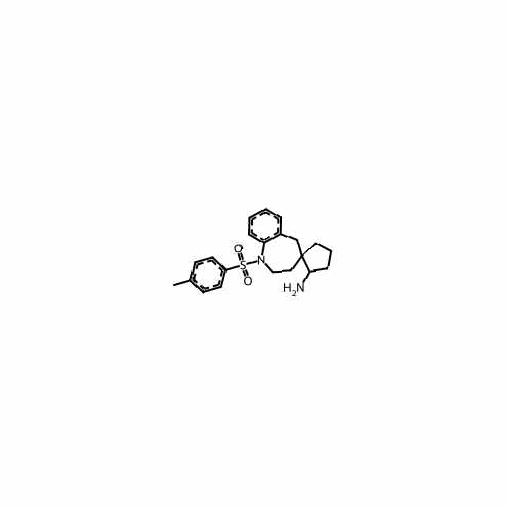 Cc1ccc(S(=O)(=O)N2CCC3(CCCC3N)Cc3ccccc32)cc1